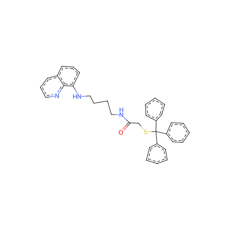 O=C(CSC(c1ccccc1)(c1ccccc1)c1ccccc1)NCCCCNc1cccc2cccnc12